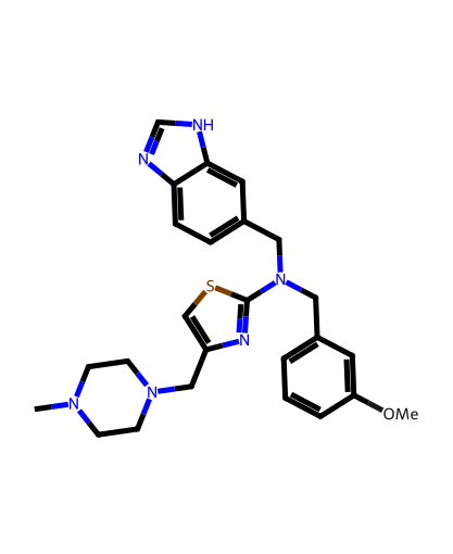 COc1cccc(CN(Cc2ccc3nc[nH]c3c2)c2nc(CN3CCN(C)CC3)cs2)c1